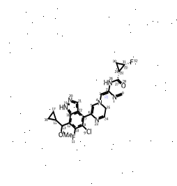 C=N/C(=C\N1C=C(c2c(Cl)c(F)c(C(OC)C3CC3)c3[nH]ncc23)N=CC1)NC(=O)[C@@H]1C[C@@H]1F